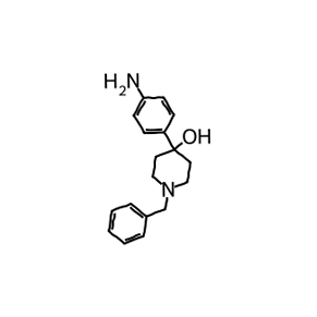 Nc1ccc(C2(O)CCN(Cc3ccccc3)CC2)cc1